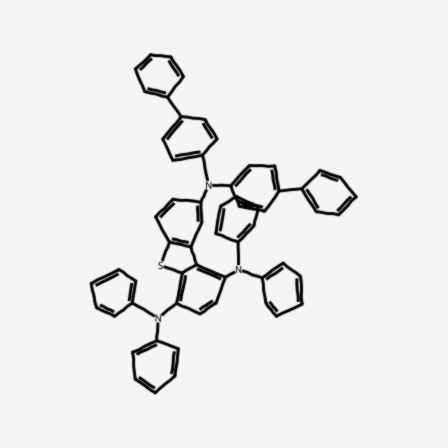 c1ccc(-c2ccc(N(c3ccc(-c4ccccc4)cc3)c3ccc4sc5c(N(c6ccccc6)c6ccccc6)ccc(N(c6ccccc6)c6ccccc6)c5c4c3)cc2)cc1